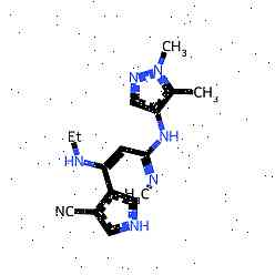 CCN/C(=C/C(=N\C)Nc1cnn(C)c1C)c1c[nH]cc1C#N